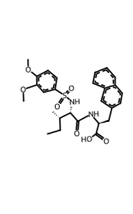 CC[C@H](C)[C@H](NS(=O)(=O)c1ccc(OC)c(OC)c1)C(=O)N[C@@H](Cc1ccc2ccccc2c1)C(=O)O